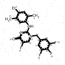 CCc1cc(C)c(Nc2nc(=O)c(F)cn2Cc2cc(F)c(F)c(F)c2)cc1C